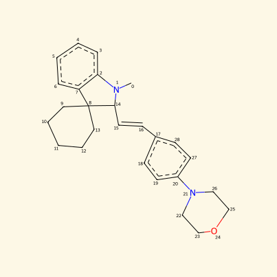 CN1c2ccccc2C2(CCCCC2)C1/C=C/c1ccc(N2CCOCC2)cc1